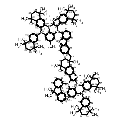 Cc1cc2c3c(c1)N(c1cccc4c1sc1ccc(CC5(C)CCC(C)(C)c6cc7c8c(sc7cc65)B5c6cc7c(cc6N(c6ccc9c(c6)C(C)(C)CCC9(C)C)c6cc(C(C)(C)C)cc(c65)N8c5cccc6c5-c5ccccc5C6(C)C)C(C)(C)CCC7(C)C)cc14)c1c(sc4cc5c(cc14)C(C)(C)CCC5(C)C)B3c1cc3c(cc1N2c1ccc2c(c1)C(C)(C)CCC2(C)C)C(C)(C)CCC3(C)C